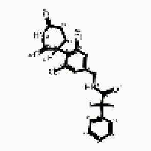 CC(C)(C(=O)NCc1cc(Cl)c([C@@]2(F)CCC(=O)NC2=O)c(Cl)c1)c1ccccc1